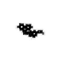 Cc1cnc2nc(NC(CC3CCCCC3)c3ccccn3)sc2c1